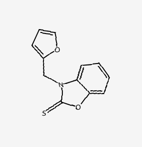 S=c1oc2ccccc2n1Cc1ccco1